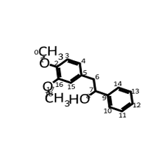 COc1ccc(CC(O)c2ccccc2)cc1OC